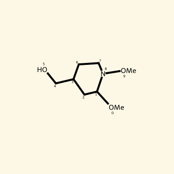 COC1CC(CO)CCN1OC